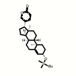 CC(C)(C)[Si](C)(C)O[C@@H]1C=C2CC[C@H]3[C@H]4CC[C@H](c5ccc(=O)oc5)[C@@]4(C)CC[C@@H]3[C@@]2(C)CC1